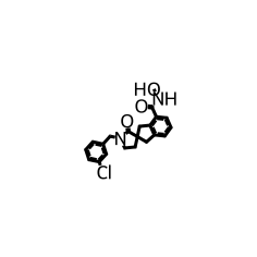 O=C(NO)c1cccc2c1CC1(CCN(Cc3cccc(Cl)c3)C1=O)C2